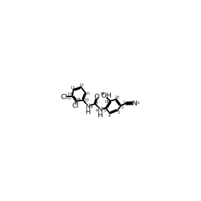 N#Cc1ccc(NC(=O)Nc2cccc(Cl)c2Cl)c(O)c1